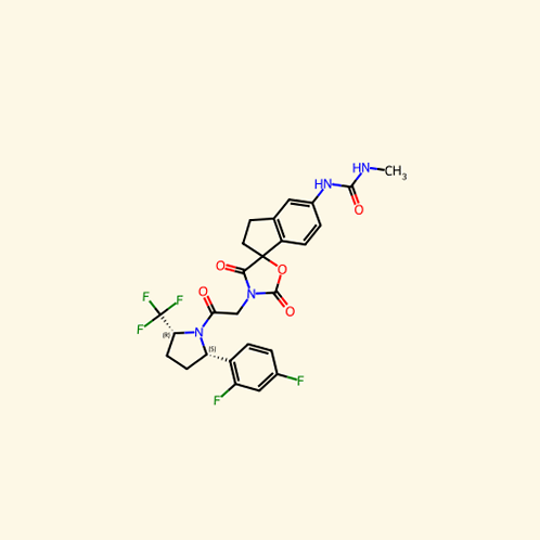 CNC(=O)Nc1ccc2c(c1)CCC21OC(=O)N(CC(=O)N2[C@H](c3ccc(F)cc3F)CC[C@@H]2C(F)(F)F)C1=O